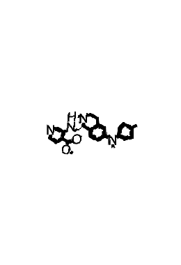 COC(=O)c1ccncc1NC[C@H]1c2ccc(N(C)c3ccc(C)cc3)cc2CCN1C